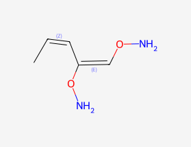 C/C=C\C(=C/ON)ON